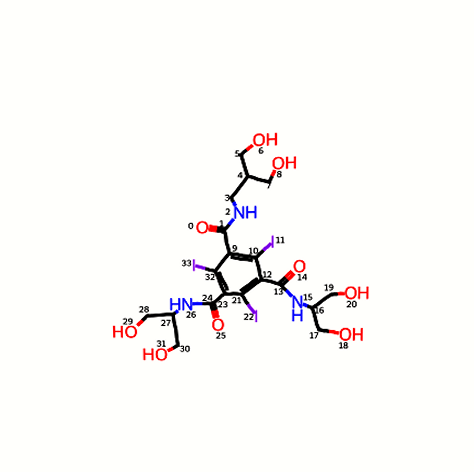 O=C(NCC(CO)CO)c1c(I)c(C(=O)NC(CO)CO)c(I)c(C(=O)NC(CO)CO)c1I